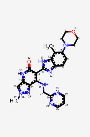 Cc1c(N2CCOCC2)ccc2nc(-c3c(NCc4ncccn4)c4nn(C)cc4[nH]c3=O)[nH]c12